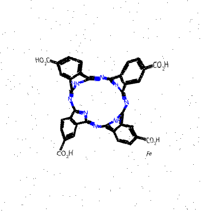 O=C(O)c1ccc2c(c1)-c1nc-2nc2[nH]c(nc3nc(nc4[nH]c(n1)c1ccc(C(=O)O)cc41)-c1cc(C(=O)O)ccc1-3)c1ccc(C(=O)O)cc21.[Fe]